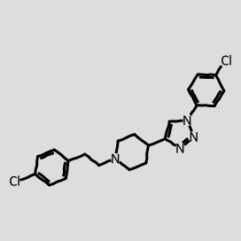 Clc1ccc(CCN2CCC(c3cn(-c4ccc(Cl)cc4)nn3)CC2)cc1